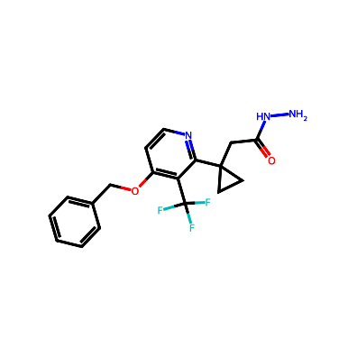 NNC(=O)CC1(c2nccc(OCc3ccccc3)c2C(F)(F)F)CC1